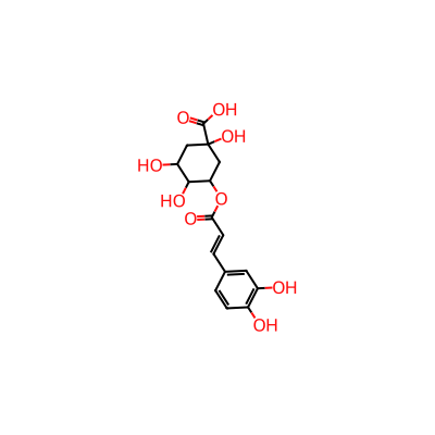 O=C(C=Cc1ccc(O)c(O)c1)OC1CC(O)(C(=O)O)CC(O)C1O